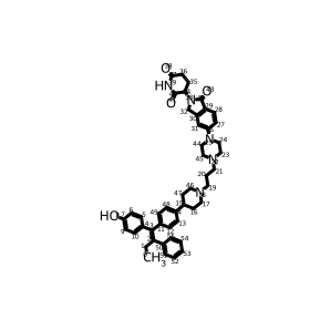 CCC(=C(c1ccc(O)cc1)c1ccc(C2CCN(CCCN3CCN(c4ccc5c(c4)CN(C4CCC(=O)NC4=O)C5=O)CC3)CC2)cc1)c1ccccc1